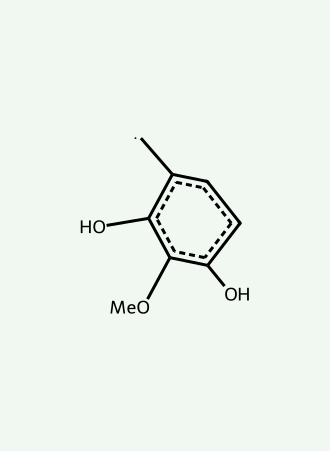 [CH2]c1ccc(O)c(OC)c1O